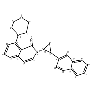 O=c1c2c(N3CCOCC3)cccc2ccn1[C@@H]1CC1c1ccc2ccccc2n1